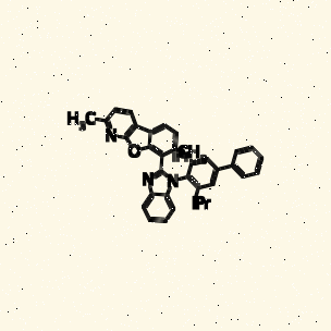 Cc1ccc2c(n1)oc1c(-c3nc4ccccc4n3-c3c(C(C)C)cc(-c4ccccc4)cc3C(C)C)c(C)ccc12